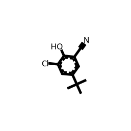 CC(C)(C)c1cc(Cl)c(O)c(C#N)c1